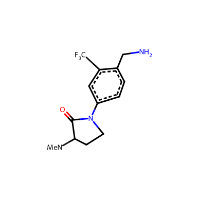 CNC1CCN(c2ccc(CN)c(C(F)(F)F)c2)C1=O